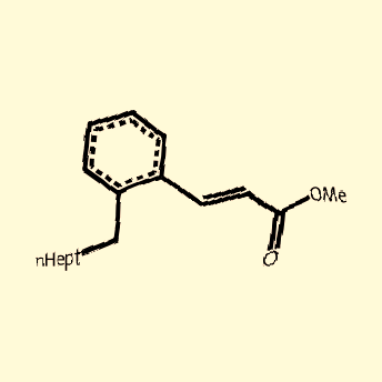 CCCCCCCCc1ccccc1/C=C/C(=O)OC